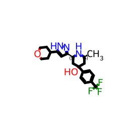 C[C@H]1CC(O)(c2ccc(C(F)(F)F)cc2)C[C@@H](c2cc(C3CCOCC3)[nH]n2)N1